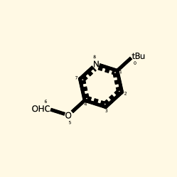 CC(C)(C)c1ccc(OC=O)cn1